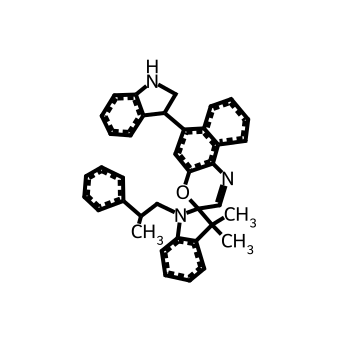 CC(CN1c2ccccc2C(C)(C)C12C=Nc1c(cc(C3CNc4ccccc43)c3ccccc13)O2)c1ccccc1